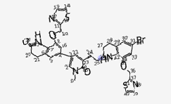 Cn1cc(-c2cc3c(c(OCc4nccs4)c2)NC(=O)CC3)cc(C/C=C2\CCc3cc(Br)cc(OCc4nccs4)c3N2)c1=O